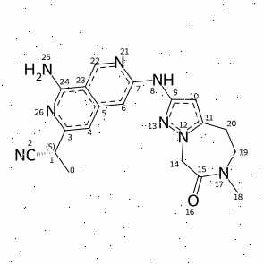 C[C@H](C#N)c1cc2cc(Nc3cc4n(n3)CC(=O)N(C)CC4)ncc2c(N)n1